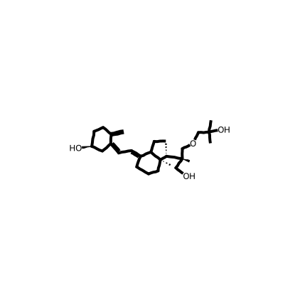 C=C1CC[C@H](O)C/C1=C/C=C1CCC[C@@]2(C)C1CC[C@@H]2[C@@](C)(CO)COCC(C)(C)O